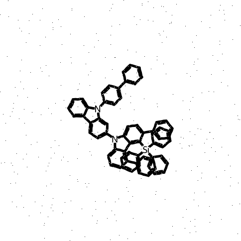 c1ccc(-c2ccc(-n3c4ccccc4c4ccc(-n5c6cccc(-c7ccccc7)c6c6c([Si](c7ccccc7)(c7ccccc7)c7ccccc7)c(-c7ccccc7)ccc65)cc43)cc2)cc1